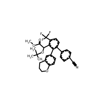 COC(=O)C(OC(C)(C)C)c1c(C(F)(F)F)ccc(-c2ccc(C#N)cc2)c1-c1ccc2c(c1)CCCO2